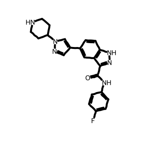 O=C(Nc1ccc(F)cc1)c1n[nH]c2ccc(-c3cnn(C4CCNCC4)c3)cc12